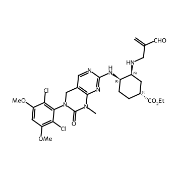 C=C(C=O)CN[C@H]1C[C@H](C(=O)OCC)CC[C@H]1Nc1ncc2c(n1)N(C)C(=O)N(c1c(Cl)c(OC)cc(OC)c1Cl)C2